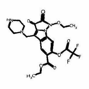 CCOC(=O)c1cc2c(CN3CCNCC3)c3n(c2cc1OC(=O)C(F)(F)F)N(OCC)C(=O)C3=O